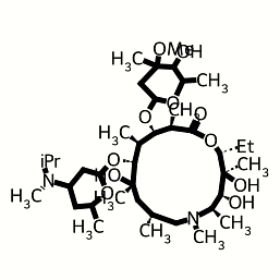 CC[C@H]1OC(=O)[C@H](C)[C@@H](OC2CC(C)(OC)C(O)C(C)O2)[C@H](C)[C@@H](OC2CC(N(C)C(C)C)CC(C)O2)[C@@](C)(O)C[C@@H](C)CN(C)[C@H](C)[C@@H](O)[C@]1(C)O